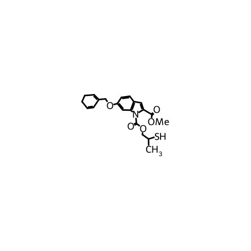 COC(=O)c1cc2ccc(OCC3=CCCC=C3)cc2n1C(=O)OCC(C)S